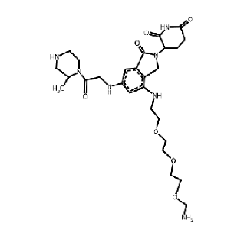 CC1CNCCN1C(=O)CNc1cc(NCCOCCOCCOCN)c2c(c1)C(=O)N(C1CCC(=O)NC1=O)C2